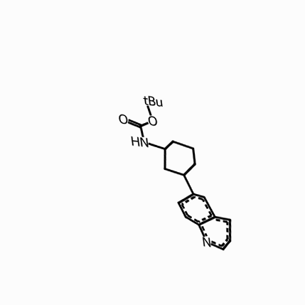 CC(C)(C)OC(=O)NC1CCCC(c2ccc3ncccc3c2)C1